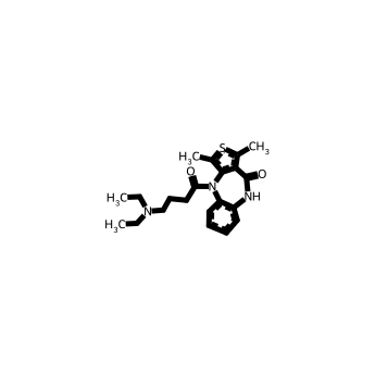 CCN(CC)CCCC(=O)N1c2ccccc2NC(=O)c2c(C)sc(C)c21